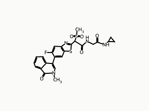 Cn1cc(-c2cc3sc(C(C(=O)NCC(=O)NC4CC4)S(C)(=O)=O)nc3cc2F)c2ccccc2c1=O